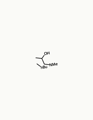 CCCCC.CNCC(C)O